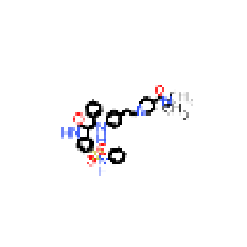 CN(C)C(=O)C1CCN(CCc2ccc(NC(=C3C(=O)Nc4ccc(S(=O)(=O)Nc5ccccc5)cc43)c3ccccc3)cc2)CC1